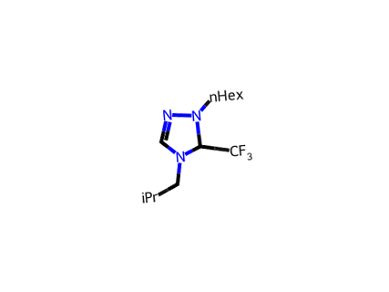 CCCCCCN1N=CN(CC(C)C)C1C(F)(F)F